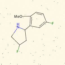 COc1ccc(F)cc1C1CC(F)CN1